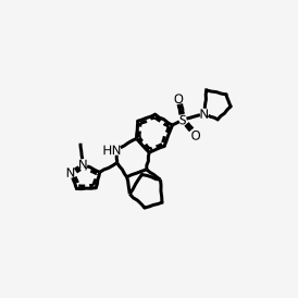 Cn1nccc1C1Nc2ccc(S(=O)(=O)N3CCCC3)cc2C2C3CCC(C3)C12